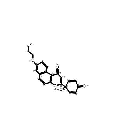 CC(C)CCOc1ccc2c(ccc3oc(C4(O)C=CC(=O)C=C4)cc(=O)c32)c1